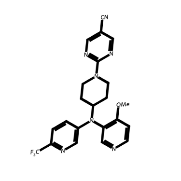 COc1ccncc1N(c1ccc(C(F)(F)F)nc1)C1CCN(c2ncc(C#N)cn2)CC1